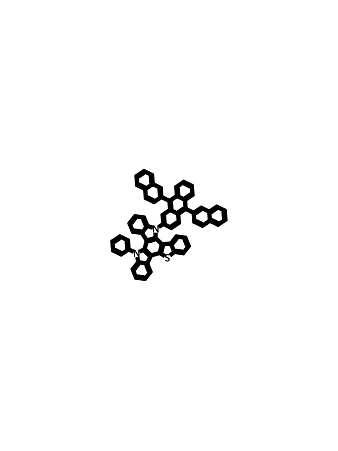 c1ccc(-n2c3ccccc3c3c4sc5ccccc5c4c4c(c5ccccc5n4-c4ccc5c(-c6ccc7ccccc7c6)c6ccccc6c(-c6ccc7ccccc7c6)c5c4)c32)cc1